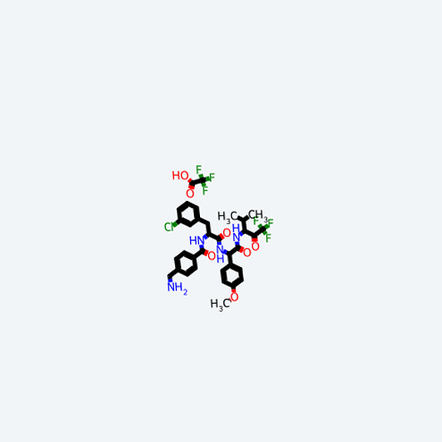 COc1ccc(C(NC(=O)C(Cc2cccc(Cl)c2)NC(=O)c2ccc(CN)cc2)C(=O)NC(C(=O)C(F)(F)F)C(C)C)cc1.O=C(O)C(F)(F)F